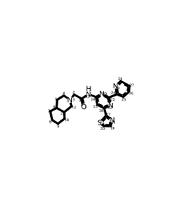 O=C(CN1CCC2CCCCC2C1)Nc1cc(-c2nccs2)nc(-c2ccccn2)n1